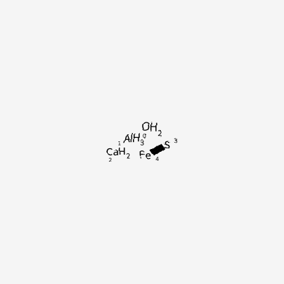 O.[AlH3].[CaH2].[S]=[Fe]